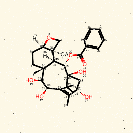 CC(=O)O[C@@]12CO[C@@H]1CC[C@@]1(C)[C@H](O)[C@H](O)C3=C(C)[C@@H](O)C[C@@](O)([C@@H](OC(=O)c4ccccc4)[C@@H]12)C3(C)C